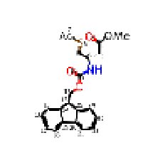 COC(=O)C[C@@H](CSC(C)=O)NC(=O)OCC1c2ccccc2-c2ccccc21